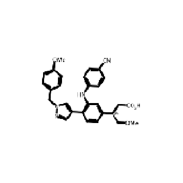 COC[C@H](CC(=O)O)c1ccc(-c2cnn(Cc3ccc(OC)cc3)c2)c(Nc2ccc(C#N)cc2)c1